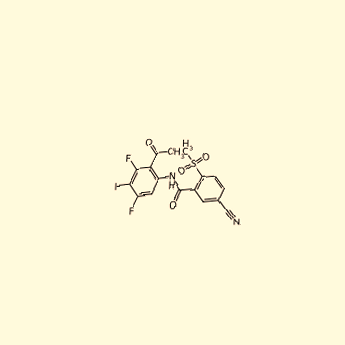 CC(=O)c1c(NC(=O)c2cc(C#N)ccc2S(C)(=O)=O)cc(F)c(I)c1F